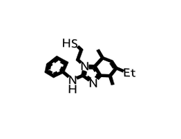 CCC1=CC(C)c2c(nc(Nc3ccccc3)n2CCS)C1C